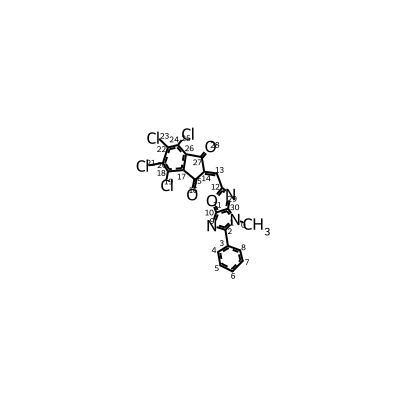 Cn1c(-c2ccccc2)nc2oc(C=C3C(=O)c4c(Cl)c(Cl)c(Cl)c(Cl)c4C3=O)nc21